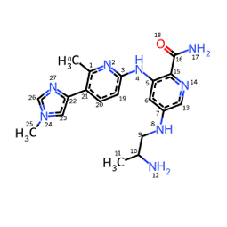 Cc1nc(Nc2cc(NCC(C)N)cnc2C(N)=O)ccc1-c1cn(C)cn1